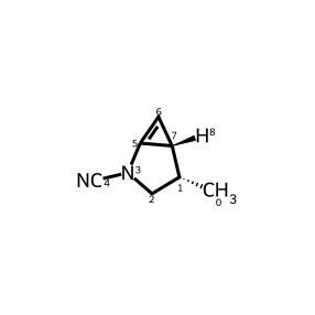 C[C@@H]1CN(C#N)C2=C[C@@H]21